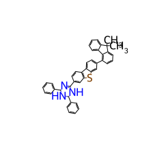 CC1(C)c2ccccc2-c2c(-c3ccc4c(c3)sc3cc(C5=NC(c6ccccc6)NC(c6ccccc6)N5)ccc34)cccc21